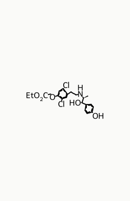 CCOC(=O)COc1cc(Cl)c(CCN[C@@H](C)[C@@H](O)c2ccc(O)cc2)cc1Cl